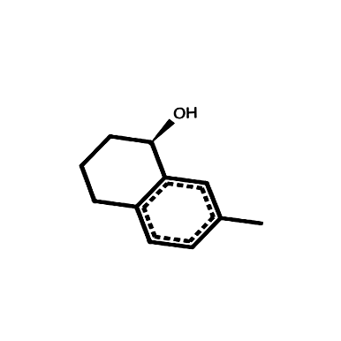 Cc1ccc2c(c1)[C@H](O)CCC2